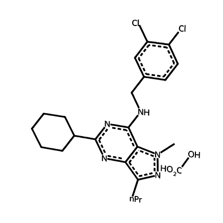 CCCc1nn(C)c2c(NCc3ccc(Cl)c(Cl)c3)nc(C3CCCCC3)nc12.O=C(O)O